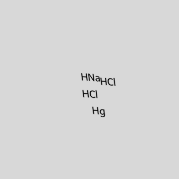 Cl.Cl.[Hg].[NaH]